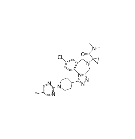 CN(C)C(=O)C1(N2Cc3cc(Cl)ccc3-n3c(nnc3C3CCN(c4ncc(F)cn4)CC3)C2)CC1